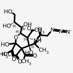 CC(=O)C1(C(C)=O)C(O)(C(=O)O)O[C@@H]([C@H](O)[C@H](O)CO)[C@@](NC(=O)CN=[N+]=[N-])(C(C)=O)[C@]1(O)C(C)=O